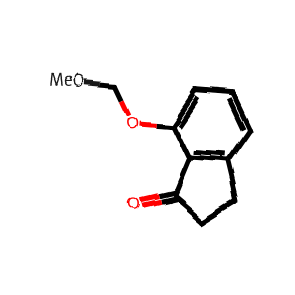 COCOc1cccc2c1C(=O)CC2